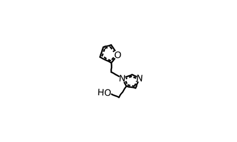 OCc1cncn1Cc1ccco1